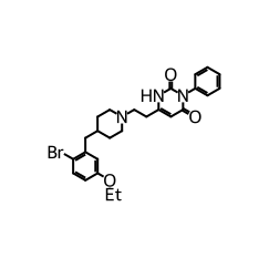 CCOc1ccc(Br)c(CC2CCN(CCc3cc(=O)n(-c4ccccc4)c(=O)[nH]3)CC2)c1